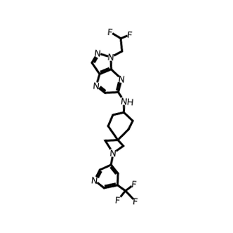 FC(F)Cn1ncc2ncc(NC3CCC4(CC3)CN(c3cncc(C(F)(F)F)c3)C4)nc21